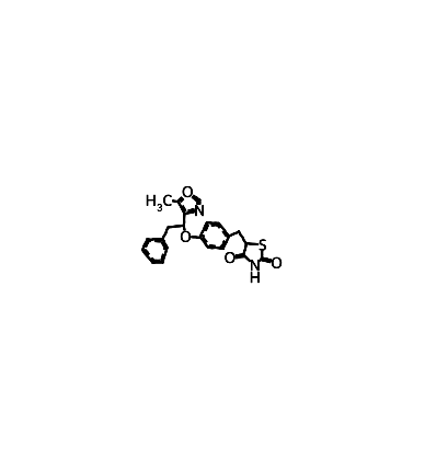 Cc1ocnc1C(Cc1ccccc1)Oc1ccc(CC2SC(=O)NC2=O)cc1